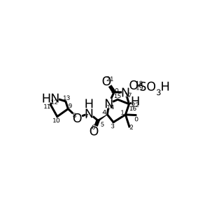 CC1(C)C[C@@H](C(=O)NOC2CCNC2)N2C[C@@H]1N(OS(=O)(=O)O)C2=O